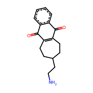 NCCC1CCC2=C(CC1)C(=O)c1ccccc1C2=O